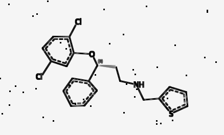 Clc1ccc(Cl)c(O[C@H](CCNCc2cccs2)c2ccccc2)c1